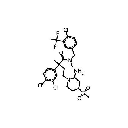 CN(Cc1ccc(Cl)c(C(F)(F)F)c1)C(=O)C(C)(CCN1CCC(S(C)(=O)=O)CC1N)c1ccc(Cl)c(Cl)c1